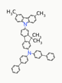 Cc1ccc2c(c1)c1cc(C)ccc1n2-c1ccc2c(c1)C(C)(C)c1cc(N(c3ccc(-c4ccccc4)cc3)c3ccc(-c4ccccc4)cc3)ccc1-2